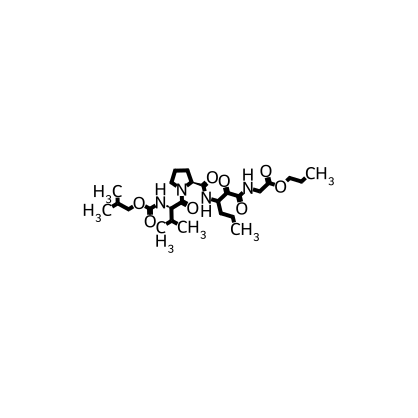 CCCOC(=O)CNC(=O)C(=O)C(CCC)NC(=O)[C@@H]1CCCN1C(=O)[C@@H](NC(=O)OCC(C)C)C(C)C